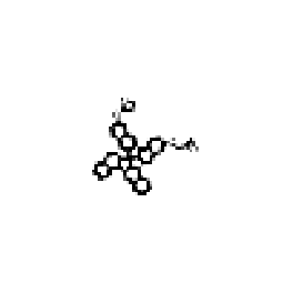 C1=c2ccccc2=CC2C1c1c(ccc3ccccc13)C2(c1ccc2cc(OCC3CO3)ccc2c1)c1ccc2cc(OC3CCO3)ccc2c1